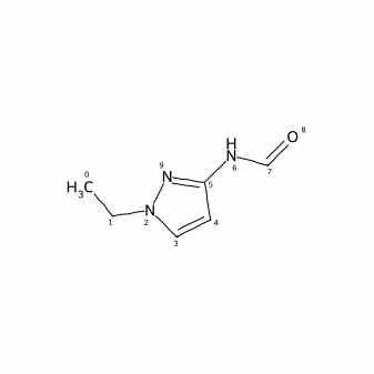 CCn1ccc(NC=O)n1